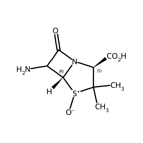 CC1(C)[C@H](C(=O)O)N2C(=O)C(N)[C@H]2[S+]1[O-]